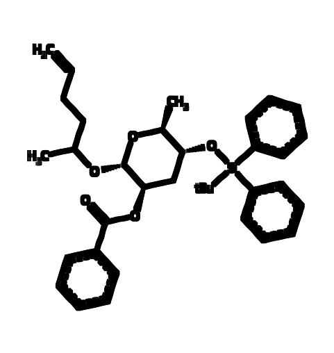 C=CCCC(C)O[C@@H]1O[C@@H](C)[C@H](O[Si](c2ccccc2)(c2ccccc2)C(C)(C)C)C[C@H]1OC(=O)c1ccccc1